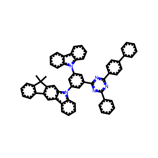 CC1(C)c2ccccc2-c2cc3c4ccccc4n(-c4cc(-c5nc(-c6ccccc6)nc(-c6ccc(-c7ccccc7)cc6)n5)cc(-n5c6ccccc6c6ccccc65)c4)c3cc21